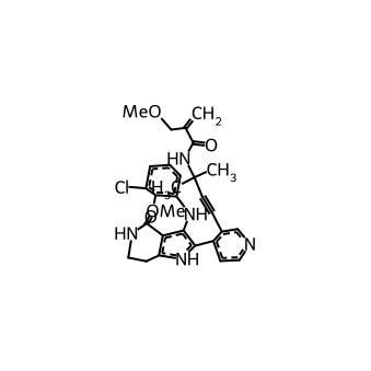 C=C(COC)C(=O)NC(C)(C)C#Cc1cnccc1-c1[nH]c2c(c1Nc1cccc(Cl)c1OC)C(=O)NCC2